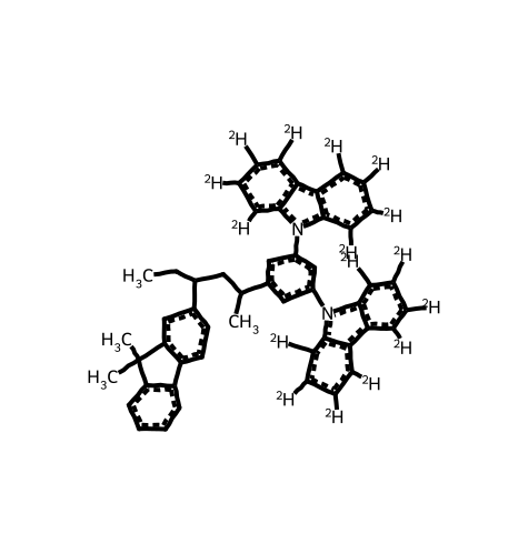 [2H]c1c([2H])c([2H])c2c(c1[2H])c1c([2H])c([2H])c([2H])c([2H])c1n2-c1cc(C(C)CC(CC)c2ccc3c(c2)C(C)(C)c2ccccc2-3)cc(-n2c3c([2H])c([2H])c([2H])c([2H])c3c3c([2H])c([2H])c([2H])c([2H])c32)c1